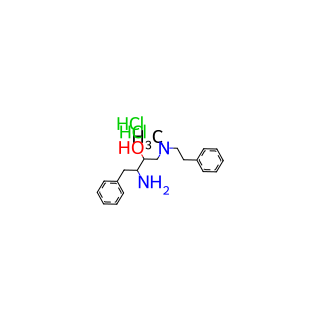 CN(CCc1ccccc1)CC(O)C(N)Cc1ccccc1.Cl.Cl